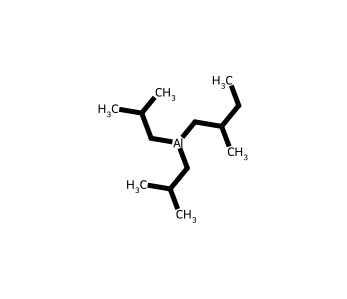 CCC(C)[CH2][Al]([CH2]C(C)C)[CH2]C(C)C